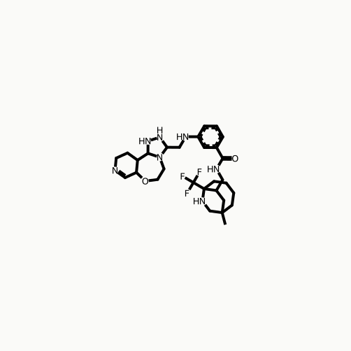 CC12CCCCC(C(F)(F)F)(NC1)C(CNC(=O)c1cccc(NCC3NNC4C5CCN=CC5OCCN34)c1)C2